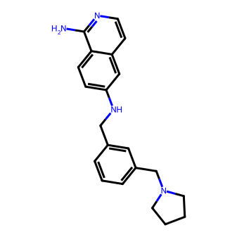 Nc1nccc2cc(NCc3cccc(CN4CCCC4)c3)ccc12